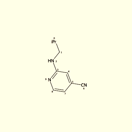 CC(C)CNc1cc(C#N)ccn1